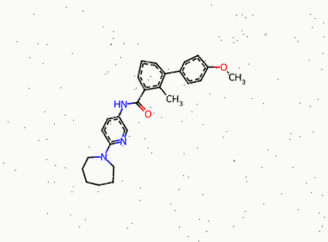 COc1ccc(-c2cccc(C(=O)Nc3ccc(N4CCCCCC4)nc3)c2C)cc1